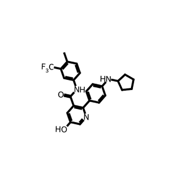 Cc1ccc(NC(=O)c2cc(O)cnc2-c2ccc(NC3CCCC3)cc2)cc1C(F)(F)F